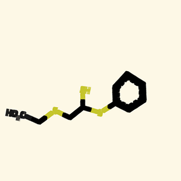 O=C(O)CSCC(S)Sc1ccccc1